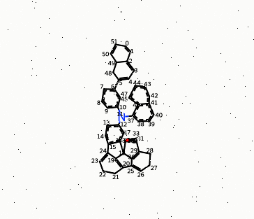 C1=CC2=CC=C(c3cccc(N(c4ccc5c(c4)C46C7=C(CCC=C75)C5=CCCC(=C54)c4ccccc46)c4cccc5ccccc45)c3)CC2C=C1